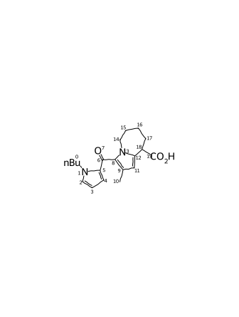 CCCCn1cccc1C(=O)c1c(C)cc2n1CCCCC2C(=O)O